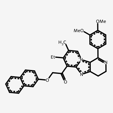 CCc1c(C)cn2c3c(nc2c1C(=O)COc1ccc2ccccc2c1)CCN=C3c1ccc(OC)c(OC)c1